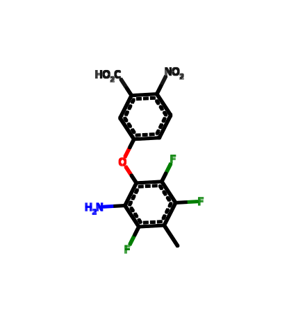 Cc1c(F)c(N)c(Oc2ccc([N+](=O)[O-])c(C(=O)O)c2)c(F)c1F